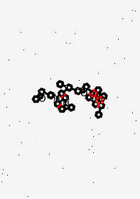 c1ccc(-c2ccc(-c3ccccc3N(c3ccc(-c4cccc5c4oc4ccc(-c6ccc(-c7ccccc7)c(-c7ccc(N(c8ccc(-c9cccc%10c9oc9ccccc9%10)cc8)c8ccccc8-c8ccccc8-n8c9ccccc9c9ccccc98)cc7)c6)cc45)cc3)c3ccccc3-c3ccccc3-n3c4ccccc4c4ccccc43)cc2)cc1